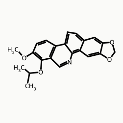 COc1ccc2c(cnc3c4cc5c(cc4ccc23)OCO5)c1OC(C)C